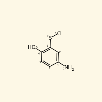 Nc1ccc(O)c(SCl)c1